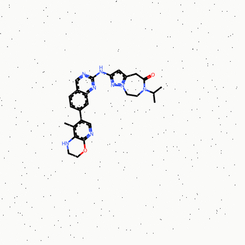 Cc1c(-c2ccc3cnc(Nc4cc5n(n4)CCN(C(C)C)C(=O)C5)nc3c2)cnc2c1NCCO2